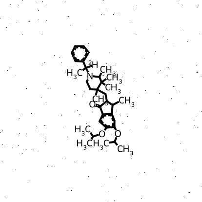 [2H]C(C)(c1ccccc1)N1CCC(C)(CC2C(=O)c3cc(OC(C)C)c(OC(C)C)cc3C2C)C(C)(C)C1C